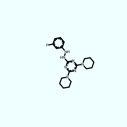 Fc1cccc(NNc2nc(N3CCCCC3)nc(N3CCCCC3)n2)c1